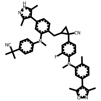 Cc1ccc(-c2c(C)noc2C)cc1N(C)c1ccc(C2(C#N)CC2Cc2ccc(-c3c(C)n[nH]c3C)cc2N(C)c2ccc(C(C)(C)C#N)cc2)cc1F